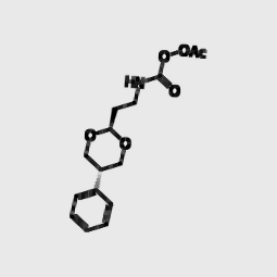 CC(=O)OOC(=O)NCC[C@H]1OC[C@H](c2ccccc2)CO1